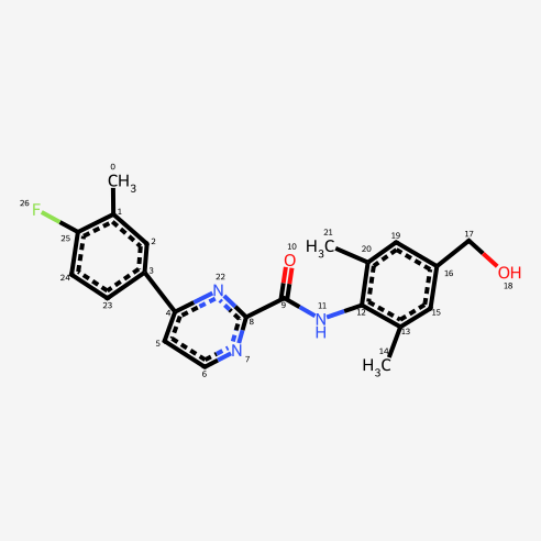 Cc1cc(-c2ccnc(C(=O)Nc3c(C)cc(CO)cc3C)n2)ccc1F